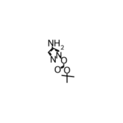 CC(C)(C)OC(=O)On1cc(N)cn1